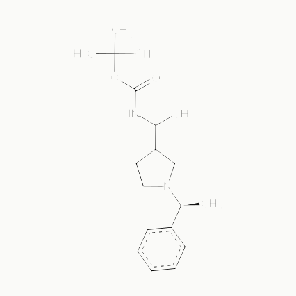 CC(NC(=O)OC(C)(C)C)C1CCN([C@@H](C)c2ccccc2)C1